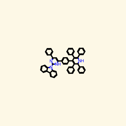 C1=C(c2ccc(C3=C(c4ccccc4)C(c4ccccc4)NC(c4ccccc4)=C3c3ccccc3)cc2)NC(n2c3ccccc3c3ccccc32)N=C1c1ccccc1